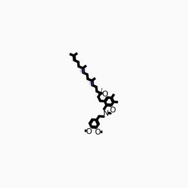 COc1ccc(CCN2COc3c(C)c(C)c4c(c3C2)CC[C@@](C)(CC/C=C(\C)CC/C=C(\C)CCC=C(C)C)O4)cc1OC